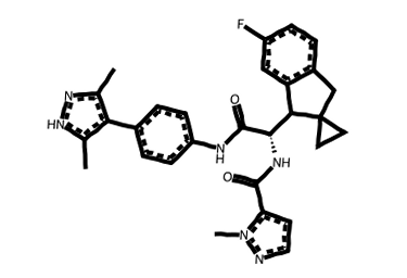 Cc1n[nH]c(C)c1-c1ccc(NC(=O)[C@@H](NC(=O)c2ccnn2C)C2c3cc(F)ccc3CC23CC3)cc1